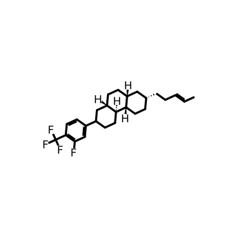 C/C=C/CC[C@@H]1CC[C@H]2[C@H](CC[C@H]3CC(c4ccc(C(F)(F)F)c(F)c4)CC[C@@H]32)C1